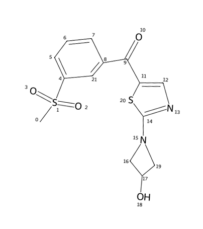 CS(=O)(=O)c1cccc(C(=O)c2cnc(N3CC(O)C3)s2)c1